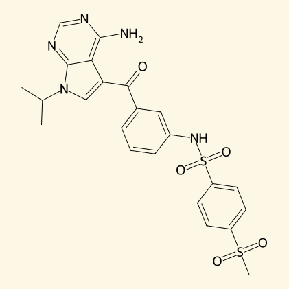 CC(C)n1cc(C(=O)c2cccc(NS(=O)(=O)c3ccc(S(C)(=O)=O)cc3)c2)c2c(N)ncnc21